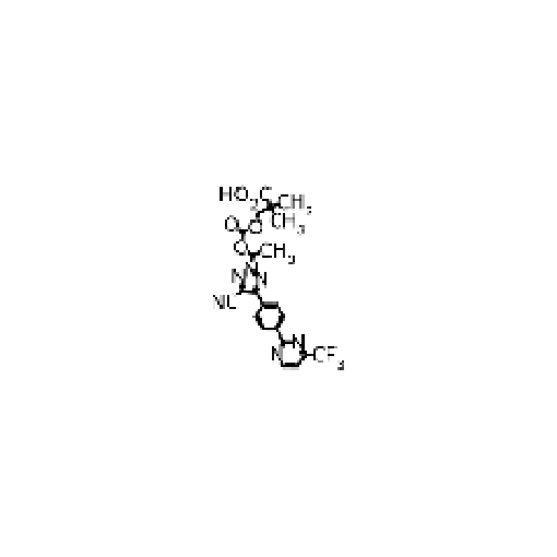 CC(OC(=O)OCC(C)(C)C(=O)O)n1nc(C#N)c(-c2ccc(-c3nccc(C(F)(F)F)n3)cc2)n1